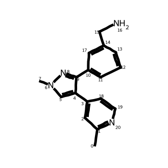 Cc1cc(-c2cn(C)nc2-c2cccc(CN)c2)ccn1